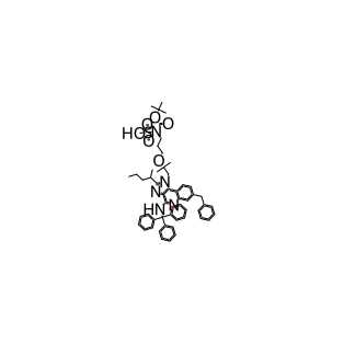 CCCC(C)c1nc2c(NC(c3ccccc3)(c3ccccc3)c3ccccc3)nc3cc(Cc4ccccc4)ccc3c2n1CC(C)(C)OCCCN(C(=O)OC(C)(C)C)S(=O)(=O)O